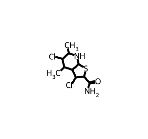 CC1NC2SC(C(N)=O)C(Cl)C2C(C)C1Cl